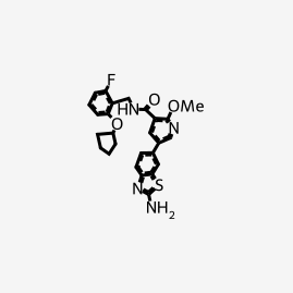 COc1ncc(-c2ccc3nc(N)sc3c2)cc1C(=O)NCc1c(F)cccc1OC1CCCC1